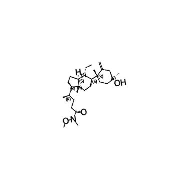 C=C1C[C@@](C)(O)CC[C@]1(C)[C@H]1CC[C@]2(C)[C@@H]([C@H](C)CCC(=O)N(C)OC)CC[C@H]2[C@@H]1CC